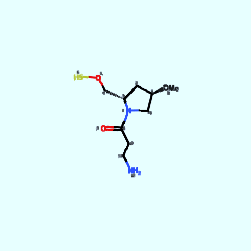 CO[C@@H]1C[C@@H](COS)N(C(=O)CCN)C1